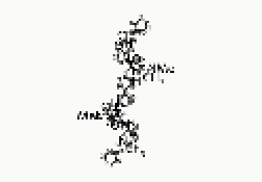 CN[C@@H](C)C(=O)N[C@@H](Cc1ccc(-c2ccc(C[C@H](NC(=O)[C@H](C)NC)C(=O)N3CCC[C@H]3CN(CCc3ccccc3)C(=O)C(F)(F)F)cc2)cc1)C(=O)N1CCC[C@H]1CN(CCc1ccccc1)C(=O)C(F)(F)F